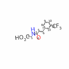 O=C(O)CNC(=O)/C=C/c1cccc(C(F)(F)F)c1